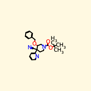 CC(C)(C)OC(=O)N1CCC(C#N)(c2ccccn2)C(OCc2ccccc2)C1